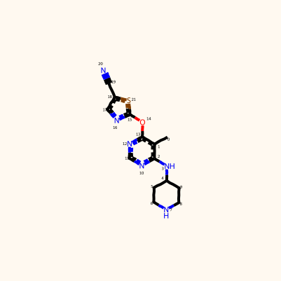 Cc1c(NC2CCNCC2)ncnc1Oc1ncc(C#N)s1